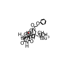 CC(C)(C)[Si](C)(C)C[C@@]12CN(C(=O)COc3ccccc3)O[C@@H]([C@H](n3ccc(=O)[nH]c3=O)O1)[C@@H]2O[Si](C)(C)C(C)(C)C